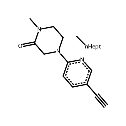 C#Cc1ccc(N2CCN(C)C(=O)C2)nc1.CCCCCCCC